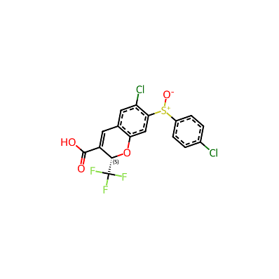 O=C(O)C1=Cc2cc(Cl)c([S+]([O-])c3ccc(Cl)cc3)cc2O[C@@H]1C(F)(F)F